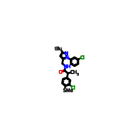 CSc1ccc(C(C)C(=O)NCc2cc(C(C)(C)C)nn2-c2cccc(Cl)c2)cc1Cl